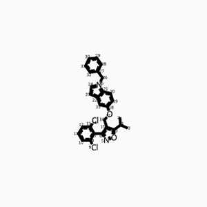 CC(C)c1onc(-c2c(Cl)cccc2Cl)c1COc1ccc2c(ccn2Cc2ccccc2)c1